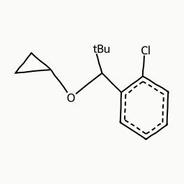 CC(C)(C)C(OC1CC1)c1ccccc1Cl